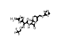 Nc1nc(C(=NOCC(F)(F)F)C(=O)NC2C(=O)N3C=C(CSc4nncs4)CS[C@@H]23)ns1